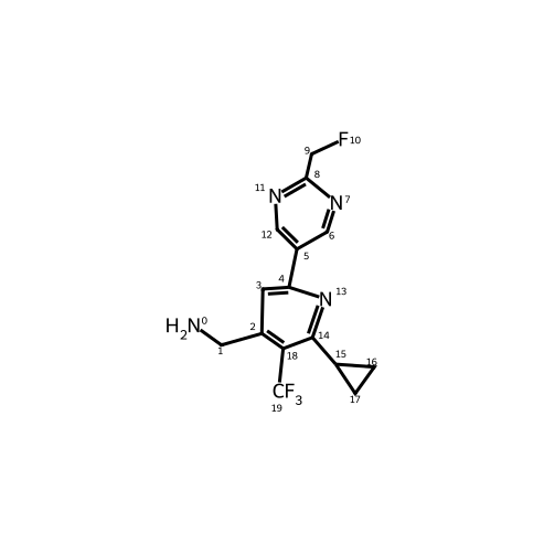 NCc1cc(-c2cnc(CF)nc2)nc(C2CC2)c1C(F)(F)F